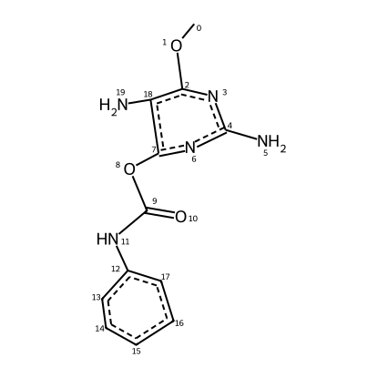 COc1nc(N)nc(OC(=O)Nc2ccccc2)c1N